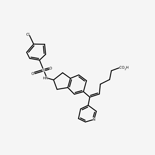 O=C(O)CCC/C=C(/c1cccnc1)c1ccc2c(c1)CC(NS(=O)(=O)c1ccc(Cl)cc1)C2